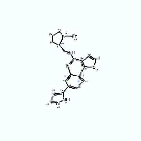 C=C(/C=c1/nc(NC[C@H]2CCCN2CC)c2ccsc2/c1=C/C)c1nnn[nH]1